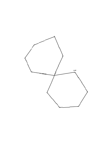 [C]1CCCCC12CCCCC2